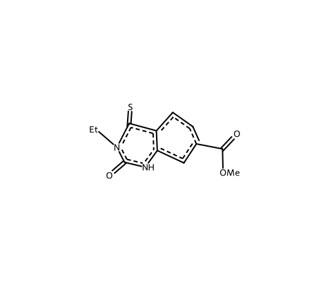 CCn1c(=O)[nH]c2cc(C(=O)OC)ccc2c1=S